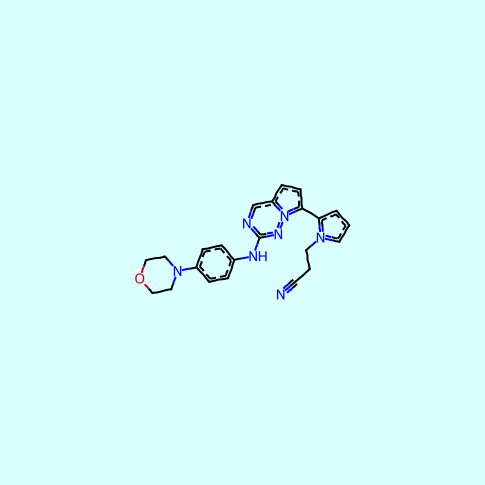 N#CCCn1cccc1-c1ccc2cnc(Nc3ccc(N4CCOCC4)cc3)nn12